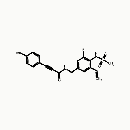 C=Cc1cc(CNC(=O)C#Cc2ccc(C(C)(C)C)cc2)cc(F)c1NS(C)(=O)=O